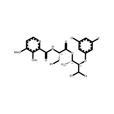 CCC(CC)[C@H](Oc1cc(F)cc(Cl)c1)[C@H](C)OC(=O)[C@H](CC(C)C)NC(=O)c1nccc(OC)c1OC(C)=O